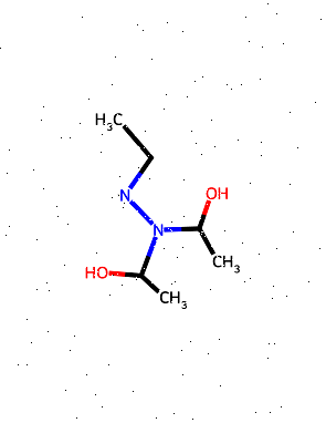 CC[N]N(C(C)O)C(C)O